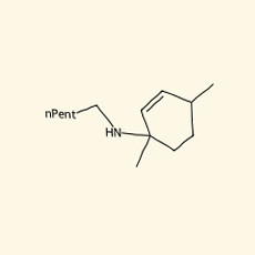 CCCCCCNC1(C)C=CC(C)CC1